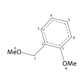 COCc1[c]cccc1OC